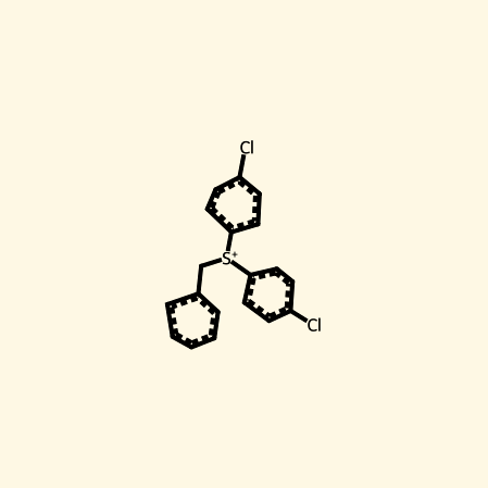 Clc1ccc([S+](Cc2ccccc2)c2ccc(Cl)cc2)cc1